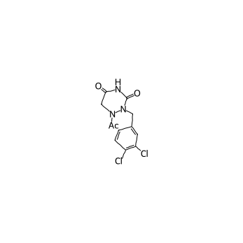 CC(=O)N1CC(=O)NC(=O)N1Cc1ccc(Cl)c(Cl)c1